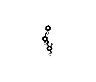 O=Cc1ccc(-c2cc3cc(COc4ccccc4)ccc3o2)c(F)c1